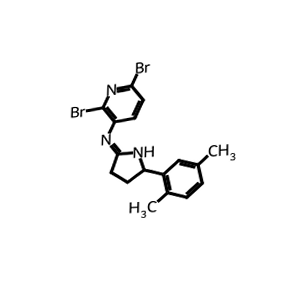 Cc1ccc(C)c(C2CC/C(=N/c3ccc(Br)nc3Br)N2)c1